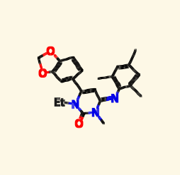 CCn1c(-c2ccc3c(c2)OCO3)cc(=Nc2c(C)cc(C)cc2C)n(C)c1=O